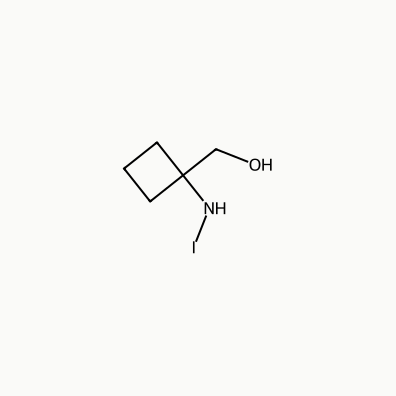 OCC1(NI)CCC1